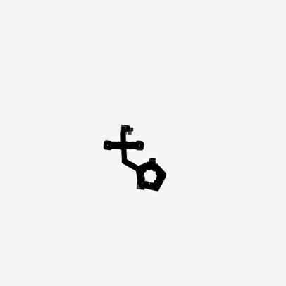 CC(C)S(=O)(=O)Cc1nccs1